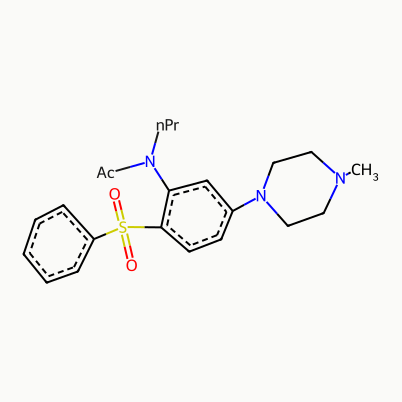 CCCN(C(C)=O)c1cc(N2CCN(C)CC2)ccc1S(=O)(=O)c1ccccc1